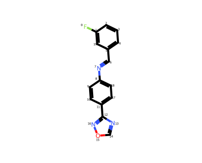 Fc1cccc(C=Nc2ccc(-c3ncon3)cc2)c1